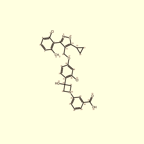 Cc1cccc(Cl)c1-c1noc(C2CC2)c1COc1ccc(C2(O)CN(c3cccc(C(=O)O)c3)C2)c(Cl)c1